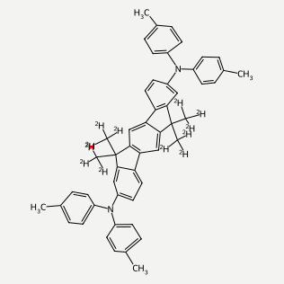 [2H]C([2H])([2H])C1(C([2H])([2H])[2H])c2cc(N(c3ccc(C)cc3)c3ccc(C)cc3)ccc2-c2cc3c(cc21)-c1ccc(N(c2ccc(C)cc2)c2ccc(C)cc2)cc1C3(C([2H])([2H])[2H])C([2H])([2H])[2H]